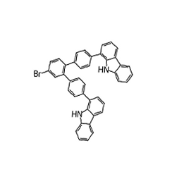 Brc1ccc(-c2ccc(-c3cccc4c3[nH]c3ccccc34)cc2)c(-c2ccc(-c3cccc4c3[nH]c3ccccc34)cc2)c1